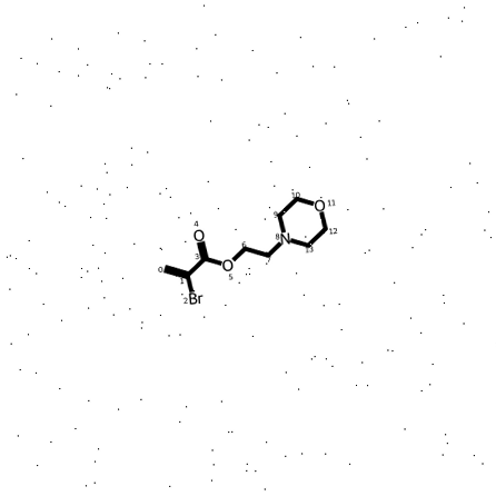 C=C(Br)C(=O)OCCN1CCOCC1